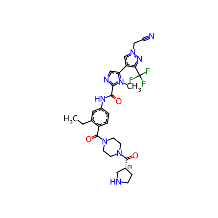 CCc1cc(NC(=O)c2ncc(-c3cn(CC#N)nc3C(F)(F)F)n2C)ccc1C(=O)N1CCN(C(=O)[C@@H]2CCNC2)CC1